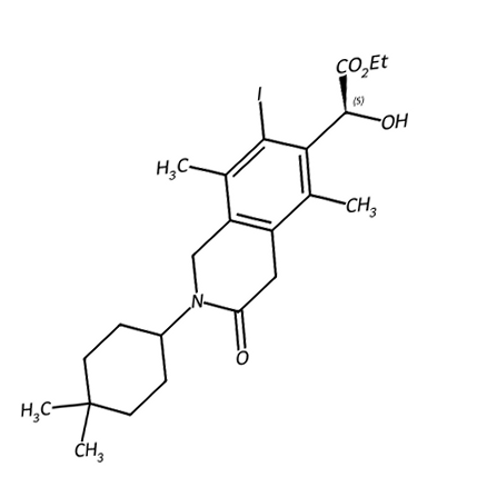 CCOC(=O)[C@@H](O)c1c(C)c2c(c(C)c1I)CN(C1CCC(C)(C)CC1)C(=O)C2